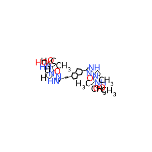 COC(=O)N[C@H](C(=O)N1[C@@H](C)CC[C@H]1c1nc(-c2ccc3cc(C#Cc4c[nH]c([C@@H]5C[C@H]6C[C@H]6N5C(=O)[C@@H](NC(=O)O)C(C)C)n4)ccc3c2)c[nH]1)C(C)C